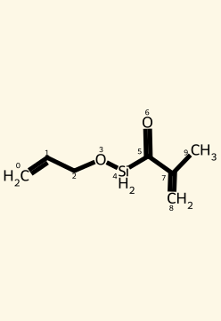 C=CCO[SiH2]C(=O)C(=C)C